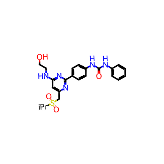 CC(C)S(=O)(=O)Cc1cc(NCCO)nc(-c2ccc(NC(=O)Nc3ccccc3)cc2)n1